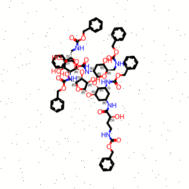 O=C(NCC[C@H](O)C(=O)N[C@@H]1C[C@H](NC(=O)OCc2ccccc2)[C@@H](O[C@H]2O[C@H](CNC(=O)OCc3ccccc3)[C@H](O)C[C@H]2NC(=O)OCc2ccccc2)[C@H](O[C@@H]2O[C@H](CO)[C@@H](O[C@H]3O[C@@H](CNC(=O)OCc4ccccc4)[C@@H](O)[C@H](O)[C@H]3NC(=O)OCc3ccccc3)[C@H]2O)C1)OCc1ccccc1